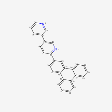 c1cncc(-c2ccc(-c3ccc4c5ccccc5c5ccccc5c4c3)nc2)c1